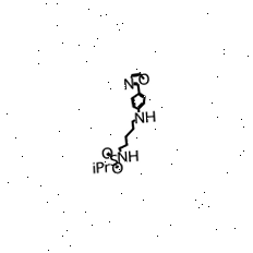 CC(C)S(=O)(=O)NCCCCCNc1ccc(-c2ncco2)cc1